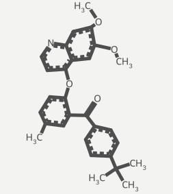 COc1cc2nccc(Oc3ccc(C)cc3C(=O)c3ccc(C(C)(C)C)cc3)c2cc1OC